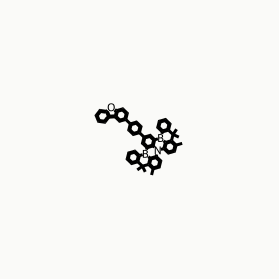 Cc1ccc2c3c1C(C)(C)c1ccccc1B3c1cc(-c3ccc(-c4ccc5oc6ccccc6c5c4)cc3)cc3c1N2c1ccc(C)c2c1B3c1ccccc1C2(C)C